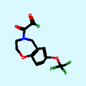 O=C(Cl)C(=O)N1CCOc2ccc(OC(F)(F)F)cc2C1